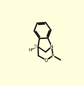 CP1OC[C@@H]2CN1c1ccccc12